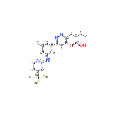 CCC(Cc1ccc(-c2cc(C)cc(Nc3nccc(C(F)(F)F)n3)c2)nn1)C(=O)O